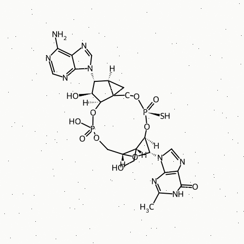 Cc1nc2c(ncn2[C@@H]2O[C@@H]3COP(=O)(O)O[C@H]4[C@@H](O)[C@H](n5cnc6c(N)ncnc65)[C@H]5CC54CO[P@@](=O)(S)O[C@@H]2[C@@H]3CO)c(=O)[nH]1